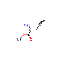 BOC(=O)[C@@H](N)CC#C